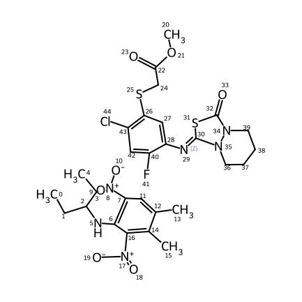 CCC(CC)Nc1c([N+](=O)[O-])cc(C)c(C)c1[N+](=O)[O-].COC(=O)CSc1cc(/N=c2\sc(=O)n3n2CCCC3)c(F)cc1Cl